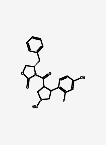 CC(C)(C)N1CC(C(=O)N2C(=O)OC[C@@H]2Cc2ccccc2)C(c2ccc(C#N)cc2F)C1